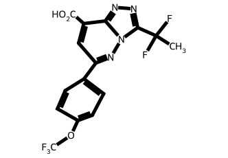 CC(F)(F)c1nnc2c(C(=O)O)cc(-c3ccc(OC(F)(F)F)cc3)nn12